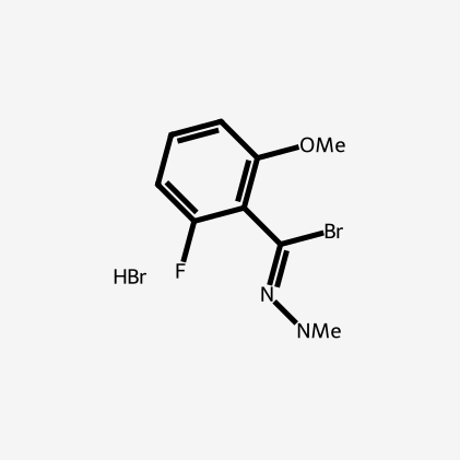 Br.CN/N=C(\Br)c1c(F)cccc1OC